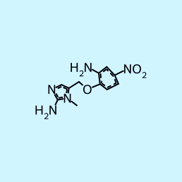 Cn1c(COc2ccc([N+](=O)[O-])cc2N)cnc1N